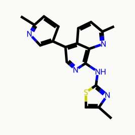 Cc1ccc(-c2cnc(Nc3nc(C)cs3)c3nc(C)ccc23)cn1